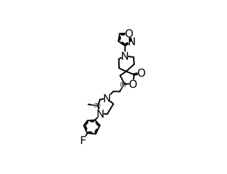 C[C@H]1CN(CC[C@H]2CC3(CCN(c4ccon4)CC3)C(=O)O2)CCN1c1ccc(F)cc1